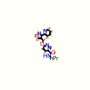 CCCNC(=O)c1ccc(OCc2conc2-c2ccccn2)nn1